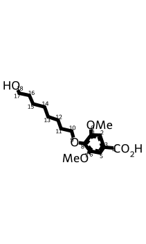 COc1cc(C(=O)O)cc(OC)c1OCCCCCCCCO